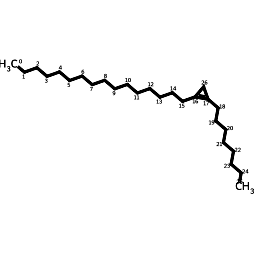 CCCCCCCCCCCCCCCCC1=C(CCCCCCCC)C1